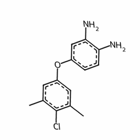 Cc1cc(Oc2ccc(N)c(N)c2)cc(C)c1Cl